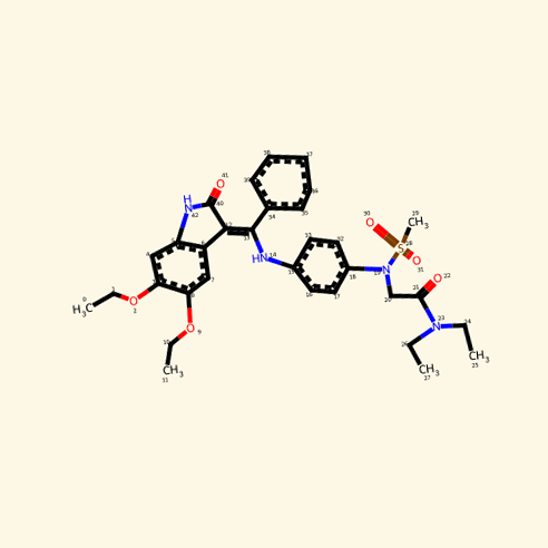 CCOc1cc2c(cc1OCC)C(=C(Nc1ccc(N(CC(=O)N(CC)CC)S(C)(=O)=O)cc1)c1ccccc1)C(=O)N2